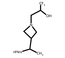 CCCCCCC(C)C1CN(CC(O)C(F)(F)F)C1